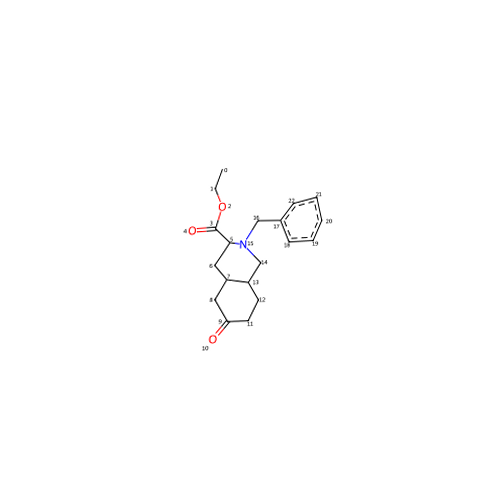 CCOC(=O)C1CC2CC(=O)CCC2CN1Cc1ccccc1